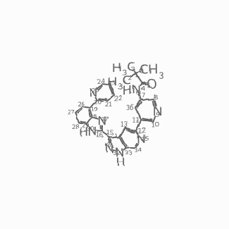 CC(C)(C)C(=O)Nc1cncc(-c2cc3c(-c4nc5c(-c6ccccn6)cccc5[nH]4)n[nH]c3cn2)c1